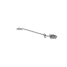 CCCCCCCCCCCCCCCCCCCCCCCCCCCCCCOC(=O)CCCC[Si](OC)(OC)OC